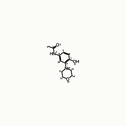 CC(=O)Nc1ccc(O)c(N2CCOCC2)c1